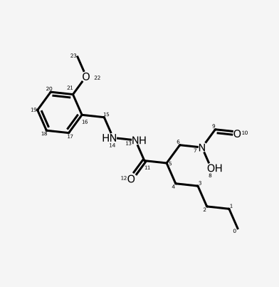 CCCCCC(CN(O)C=O)C(=O)NNCc1ccccc1OC